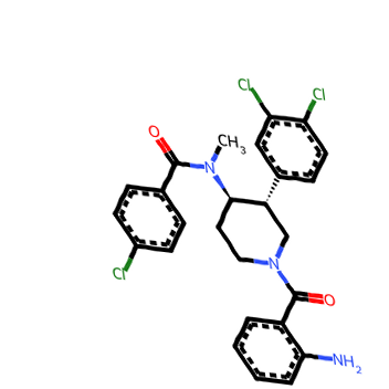 CN(C(=O)c1ccc(Cl)cc1)[C@@H]1CCN(C(=O)c2ccccc2N)C[C@H]1c1ccc(Cl)c(Cl)c1